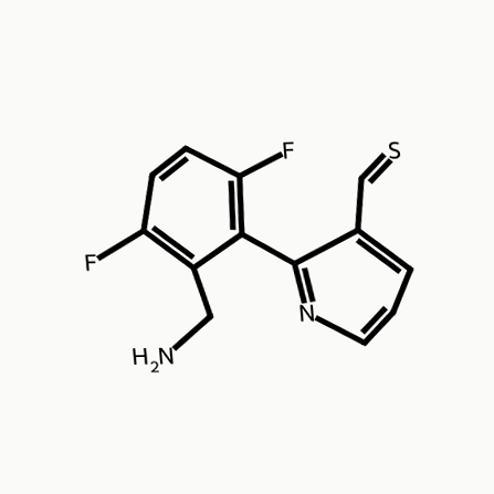 NCc1c(F)ccc(F)c1-c1ncccc1C=S